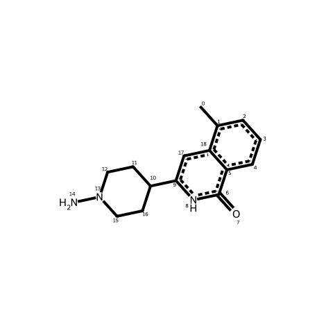 Cc1cccc2c(=O)[nH]c(C3CCN(N)CC3)cc12